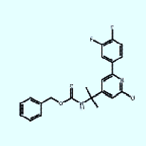 CC(C)(NC(=O)OCc1ccccc1)c1cc(Cl)nc(-c2ccc(F)c(F)c2)c1